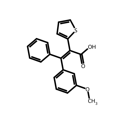 COc1cccc(/C(=C(\C(=O)O)c2cccs2)c2ccccc2)c1